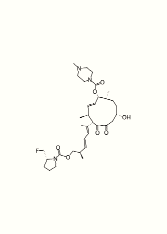 C/C(=C\C=C\[C@@H](C)COC(=O)N1CCC[C@@H]1CF)[C@H]1C(=O)C(=O)C[C@@H](O)CC[C@@H](C)[C@@H](OC(=O)N2CCN(C)CC2)/C=C/[C@@H]1C